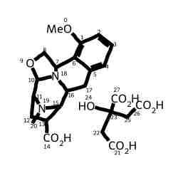 COc1cccc2c1C1COC3C4CC(C(=O)O)C(C(C2)N13)N4C.O=C(O)CC(O)(CC(=O)O)C(=O)O